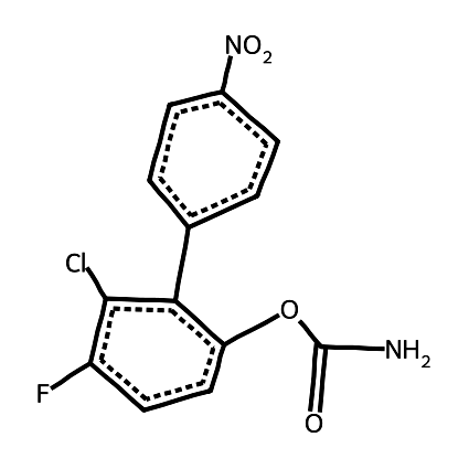 NC(=O)Oc1ccc(F)c(Cl)c1-c1ccc([N+](=O)[O-])cc1